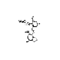 C=Nc1cc(C)cc(CSc2c(N=C)cc(F)c3c2CCC3)c1NCOC